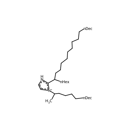 CCCCCCCCCCCCCCCCCCCC(CCCCCC)c1[nH]cc[n+]1C(C)CCCCCCCCCCCCCC